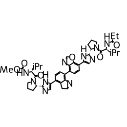 CCC(=O)N[C@H](C(=O)N1CCC[C@H]1c1ncc(-c2ccc(-c3ccc(-c4cnc([C@@H]5CCCN5C(=O)[C@@H](NC(=O)OC)C(C)C)[nH]4)c4c3N=CC4)c3ncoc23)[nH]1)C(C)C